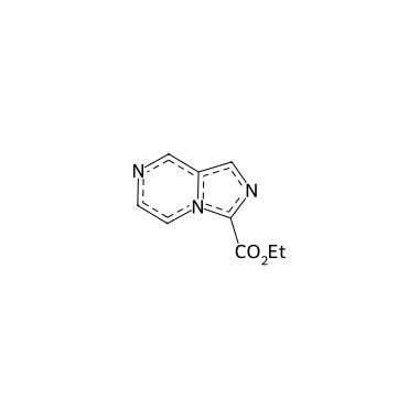 CCOC(=O)c1ncc2cnccn12